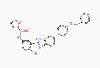 O=C(Nc1ccc(Cl)c(-c2nc3ncc(-c4ccc(OCc5ccccc5)cc4)cc3[nH]2)c1)c1ccco1